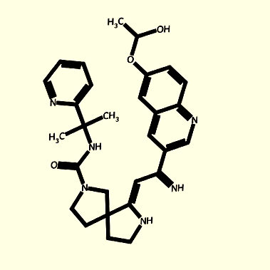 CC(O)Oc1ccc2ncc(C(=N)/C=C3\NCCC34CCN(C(=O)NC(C)(C)c3ccccn3)C4)cc2c1